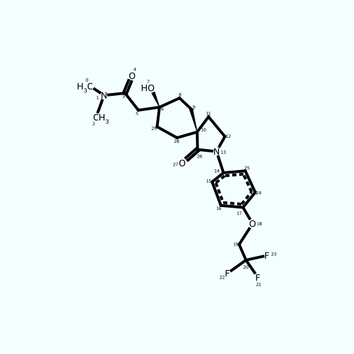 CN(C)C(=O)C[C@]1(O)CC[C@]2(CCN(c3ccc(OCC(F)(F)F)cc3)C2=O)CC1